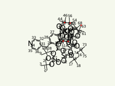 CC(C)(C)O[Si]1(OC(C)(C)C)OO[Si]2(OC(C)(C)C)OC(c3cc([N+](=O)[O-])ccc3Cc3ccncc3)(O1)O[Si]1(O[Si](OC(C)(C)C)(OC(C)(C)C)OC(C)(C)C)O[Si](OC(C)(C)C)(OC(C)(C)C)O[Si](OC(C)(C)C)(O2)O1